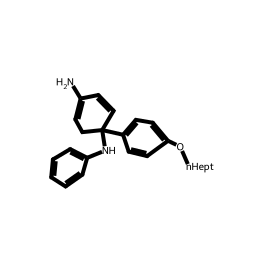 CCCCCCCOc1ccc(C2(Nc3ccccc3)C=CC(N)=CC2)cc1